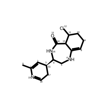 CC1=C[C@@H](C2CNC3=CCCC(Cl)C3C(=O)N2)CC=N1